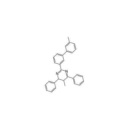 Cc1cccc(-c2cccc(C3=NC(c4ccccc4)C(C)C(c4ccccc4)=N3)c2)c1